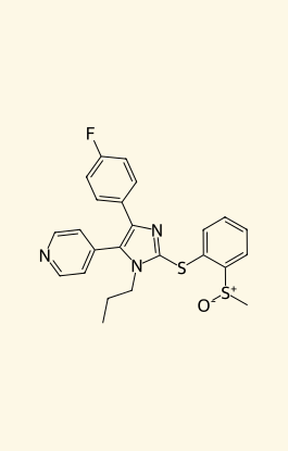 CCCn1c(Sc2ccccc2[S+](C)[O-])nc(-c2ccc(F)cc2)c1-c1ccncc1